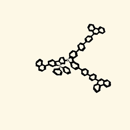 c1ccc([Si]2(c3ccccc3)c3cc(-c4cccc5ccccc45)ccc3-c3ccc(-n4c5ccc(-c6ccc(-c7ccc(-c8cc9ccccc9c9ccccc89)cc7)cc6)cc5c5cc(-c6ccc(-c7ccc(-c8cc9ccccc9c9ccccc89)cc7)cc6)ccc54)cc32)cc1